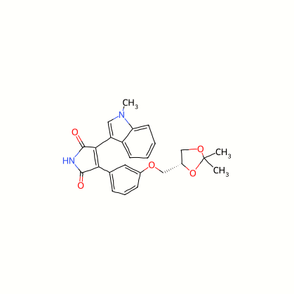 Cn1cc(C2=C(c3cccc(OC[C@@H]4COC(C)(C)O4)c3)C(=O)NC2=O)c2ccccc21